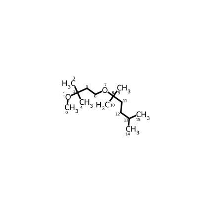 COC(C)(C)CCOC(C)(C)CCC(C)C